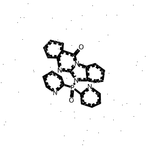 O=c1c2ccccc2nc2n(P(=O)(c3ccccn3)c3ccccn3)c3ccccc3n12